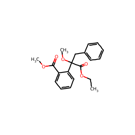 CCOC(=O)C(Cc1ccccc1)(OC)c1ccccc1C(=O)OC